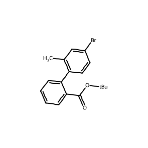 Cc1cc(Br)ccc1-c1ccccc1C(=O)OC(C)(C)C